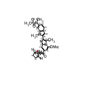 COc1cc(C(=O)N2C[C@H]3CC[C@@H]2[C@@H]3N)cc2nc(-c3cc4ccc(N(C)S(C)(=O)=O)nc4n3C)c(C)n12